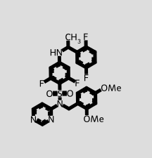 COc1ccc(CN(c2ccncn2)S(=O)(=O)c2c(F)cc(NC(C)c3cc(F)ccc3F)cc2F)c(OC)c1